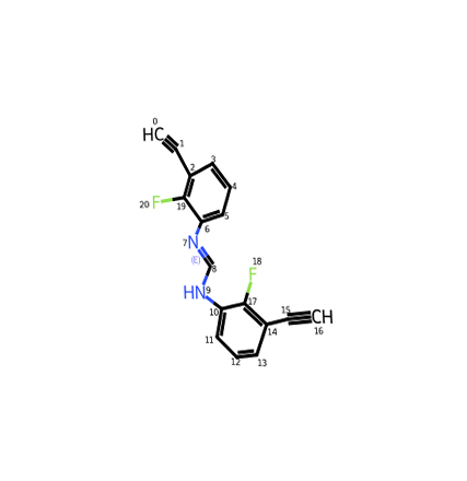 C#Cc1cccc(/N=C/Nc2cccc(C#C)c2F)c1F